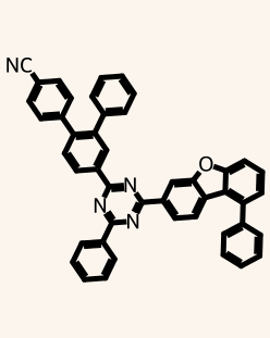 N#Cc1ccc(-c2ccc(-c3nc(-c4ccccc4)nc(-c4ccc5c(c4)oc4cccc(-c6ccccc6)c45)n3)cc2-c2ccccc2)cc1